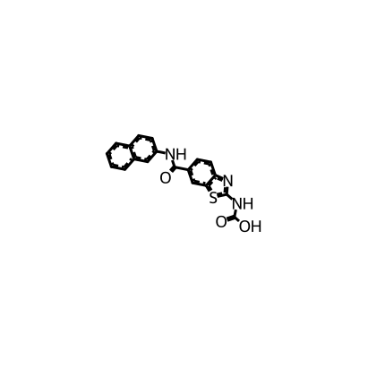 O=C(O)Nc1nc2ccc(C(=O)Nc3ccc4ccccc4c3)cc2s1